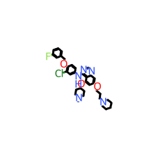 CN1CCC(Oc2cc(OCCCN3CCCCC3)cc3ncnc(Nc4ccc(OCc5cccc(F)c5)c(Cl)c4)c23)CC1